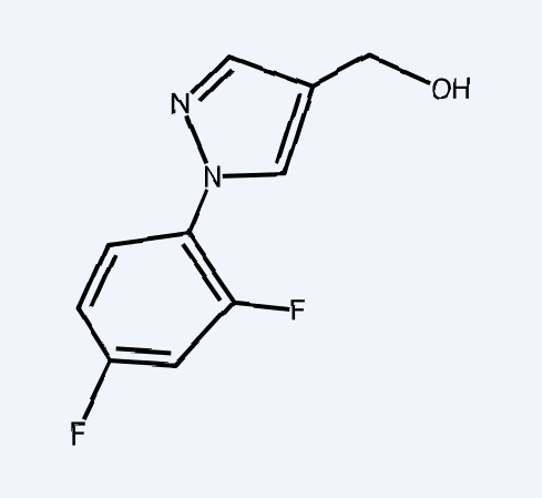 OCc1cnn(-c2ccc(F)cc2F)c1